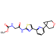 CC(C)(C)OC(=O)NCC(=O)Nc1nc(-c2cccc(C34CCOCC3C4)n2)cs1